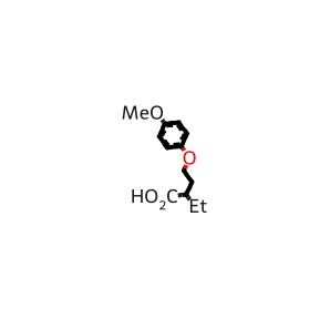 CCC(CCOc1ccc(OC)cc1)C(=O)O